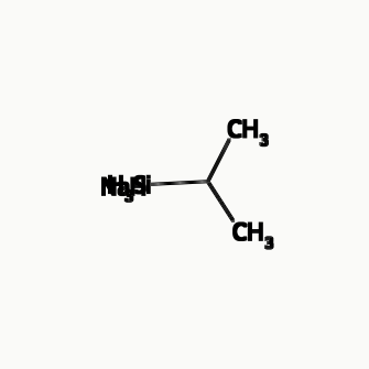 CC(C)[SiH3].[NaH]